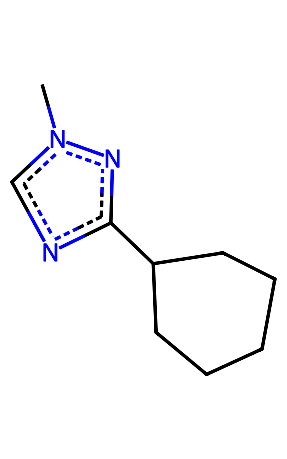 Cn1cnc(C2CCCCC2)n1